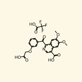 COc1cc2c(C(=O)O)cnc(C(=O)c3cccc(OCC(=O)O)c3)c2cc1OC.O=C(O)C(F)(F)F